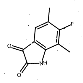 Cc1cc2c(c(C)c1F)NC(=O)C2=O